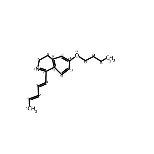 CC=CC=CC1=NCCc2cc(OCCCC)ccc21